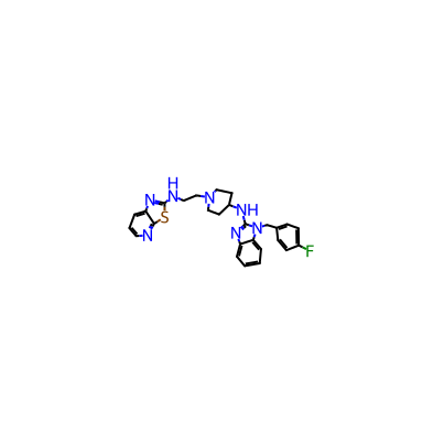 Fc1ccc(Cn2c(NC3CCN(CCNc4nc5cccnc5s4)CC3)nc3ccccc32)cc1